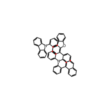 c1cc(-c2ccccc2-n2c3ccccc3c3ccccc32)cc(N(c2ccccc2-c2cccc3ccccc23)c2ccccc2-c2cccc3c2oc2ccccc23)c1